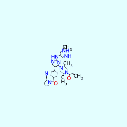 C=CC(=O)N1C[C@H](C)N(c2nc(N/C(C=N)=C/NC)ncc2C2=CCC(C(=O)N3CCC[C@H]3C#N)CC2)C[C@H]1C